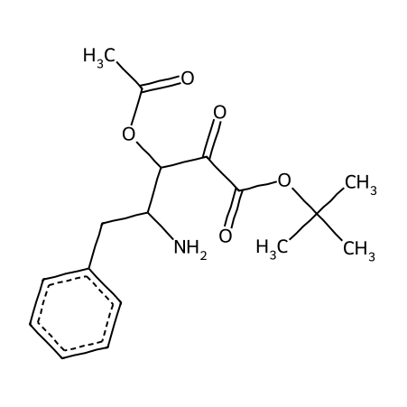 CC(=O)OC(C(=O)C(=O)OC(C)(C)C)C(N)Cc1ccccc1